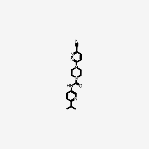 CC(C)c1ccc(NC(=O)N2CCN(c3ccc(C#N)nn3)CC2)cn1